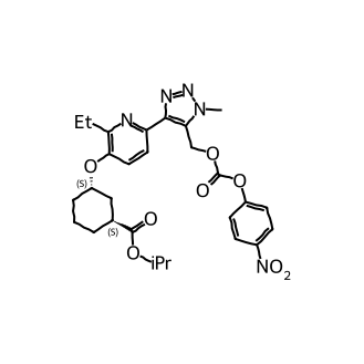 CCc1nc(-c2nnn(C)c2COC(=O)Oc2ccc([N+](=O)[O-])cc2)ccc1O[C@H]1CCC[C@H](C(=O)OC(C)C)C1